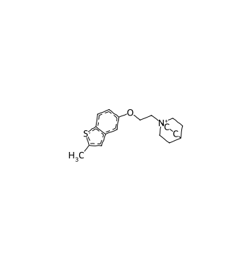 Cc1cc2cc(OCC[N+]34CCC(CC3)CC4)ccc2s1